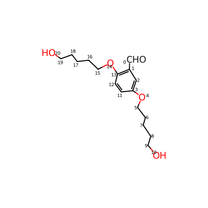 O=Cc1cc(OCCCCCO)ccc1OCCCCCO